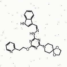 C(=N/Nc1nc(OCCc2ccccn2)nc(N2CCC3(CC2)OCCO3)n1)/c1c[nH]c2ccccc12